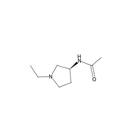 CCN1CC[C@H](NC(C)=O)C1